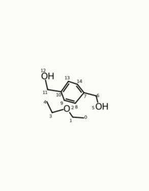 CCOCC.OCc1ccc(CO)cc1